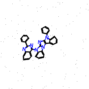 c1ccc(-c2nc(-n3c4ccccc4n4c5c6ccccc6n(-c6ccccc6)c5nc34)c3ccccc3n2)cc1